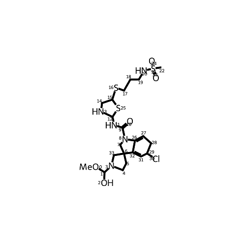 COC(O)N1CCC2(CN(C(=O)NC3NCC(SCCCNS(C)(=O)=O)S3)C3=CCC(Cl)C=C32)C1